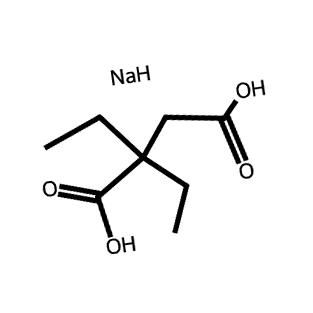 CCC(CC)(CC(=O)O)C(=O)O.[NaH]